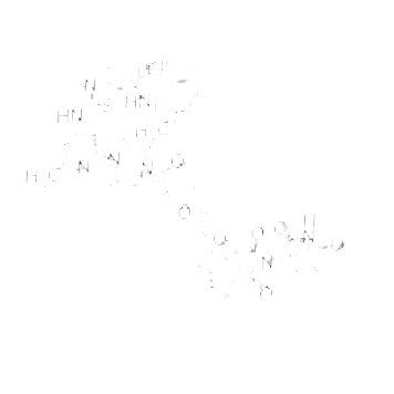 Cc1cc(Nc2ncc(C(=O)Nc3c(C)cccc3Cl)s2)cc(N2CCN(C(=O)CCOCCOc3cccc4c3C(=O)N(C3CCC(=O)NC3=O)C4=O)CC2)n1